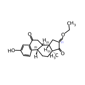 CCO/C=C1\C[C@H]2[C@@H]3CC(=O)c4cc(O)ccc4[C@H]3CC[C@]2(C)C1=O